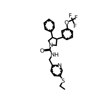 CCSc1ccc(CNC(=O)N2CC(c3ccccc3)C(c3cccc(OC(F)(F)F)c3)C2)nc1